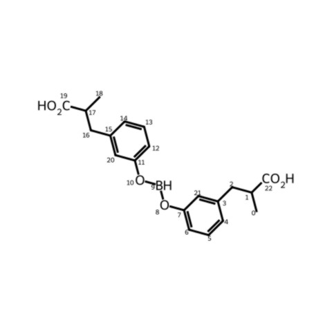 CC(Cc1cccc(OBOc2cccc(CC(C)C(=O)O)c2)c1)C(=O)O